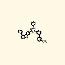 Cc1cccc(-c2cccc(-c3nc(-c4ccccc4)nc(-c4ccc5c(c4)sc4cccc(-c6ccccc6)c45)n3)c2)c1